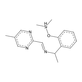 Cc1cnc(C=NC(C)c2ccccc2O[SiH](C)C)nc1